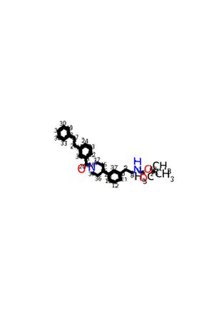 CC(C)(C)OC(=O)NCCc1cccc(C2CCN(C(=O)c3cccc(CCc4ccccc4)c3)CC2)c1